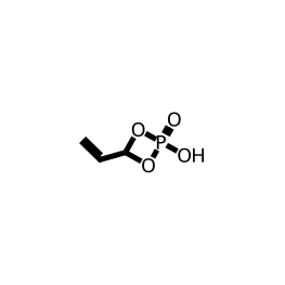 C=CC1OP(=O)(O)O1